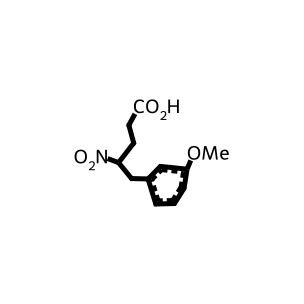 COc1cccc(CC(CCC(=O)O)[N+](=O)[O-])c1